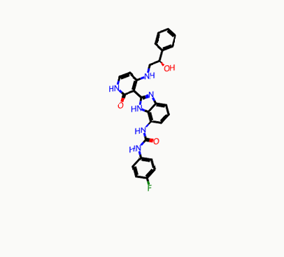 O=C(Nc1ccc(F)cc1)Nc1cccc2nc(-c3c(NC[C@H](O)c4ccccc4)cc[nH]c3=O)[nH]c12